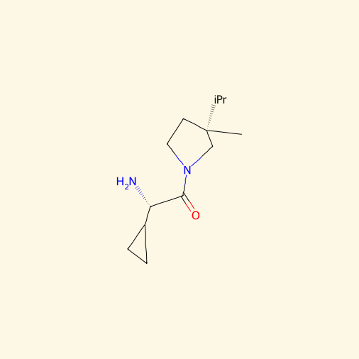 CC(C)[C@@]1(C)CCN(C(=O)[C@@H](N)C2CC2)C1